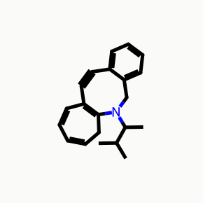 CC(C)C(C)N1Cc2ccccc2C#CC2=C1CC=CC=C2